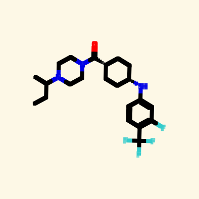 CCC(C)N1CCN(C(=O)[C@H]2CC[C@@H](Nc3ccc(C(F)(F)F)c(F)c3)CC2)CC1